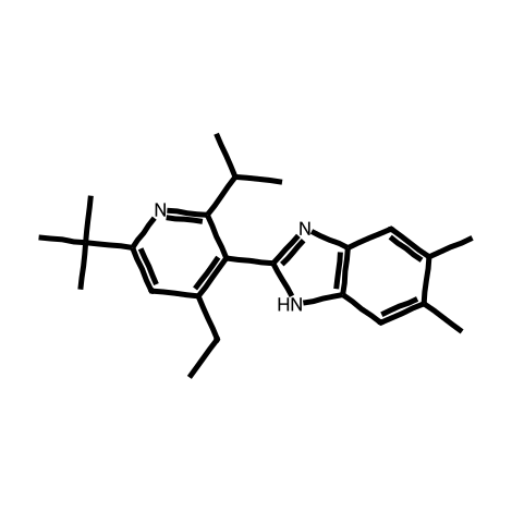 CCc1cc(C(C)(C)C)nc(C(C)C)c1-c1nc2cc(C)c(C)cc2[nH]1